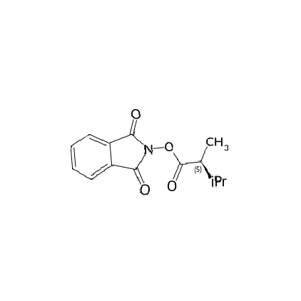 CC(C)[C@H](C)C(=O)ON1C(=O)c2ccccc2C1=O